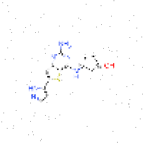 Nc1nc(N[C@H]2CC[C@H](O)C2)c2sc(-c3ccn[nH]3)cc2n1